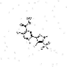 CONC(=O)c1cc(-c2nn(C)c(S(C)(=O)=O)c2Cl)c(F)cc1Cl